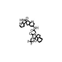 O=C(CN1C(=O)N(CC(F)(F)F)C(=O)C12CCc1ccccc12)Nc1cnc2c(c1)CC1(C2)C(=O)Nc2ncccc21